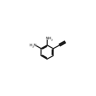 C#Cc1cccc(N)c1N